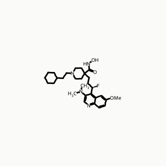 COc1ccc2ncc(N(C)C)c([C@H](F)CCC3(C(=O)NO)CCN(CCC4CCCCC4)CC3)c2c1